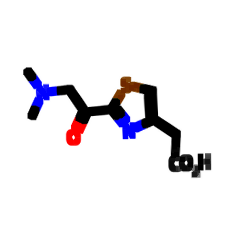 CN(C)CC(=O)c1nc(CC(=O)O)cs1